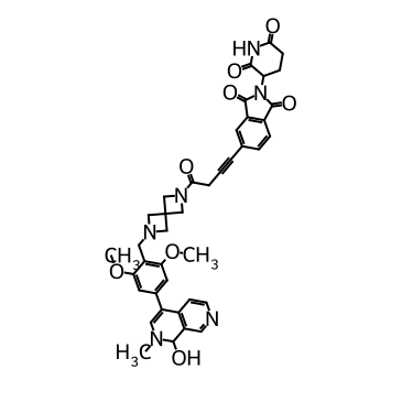 COc1cc(C2=CN(C)C(O)c3cnccc32)cc(OC)c1CN1CC2(C1)CN(C(=O)CC#Cc1ccc3c(c1)C(=O)N(C1CCC(=O)NC1=O)C3=O)C2